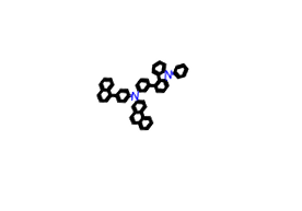 c1ccc(-n2c3ccccc3c3c(-c4cccc(N(c5ccc(-c6cccc7ccccc67)cc5)c5ccc6c(ccc7ccccc76)c5)c4)cccc32)cc1